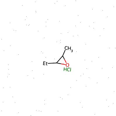 CCC1OC1C.Cl